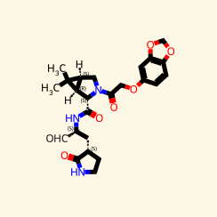 CC1(C)[C@@H]2[C@@H](C(=O)N[C@H](C=O)C[C@@H]3CCNC3=O)N(C(=O)COc3ccc4c(c3)OCO4)C[C@@H]21